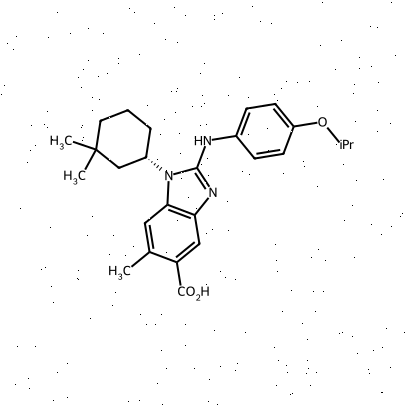 Cc1cc2c(cc1C(=O)O)nc(Nc1ccc(OC(C)C)cc1)n2[C@H]1CCCC(C)(C)C1